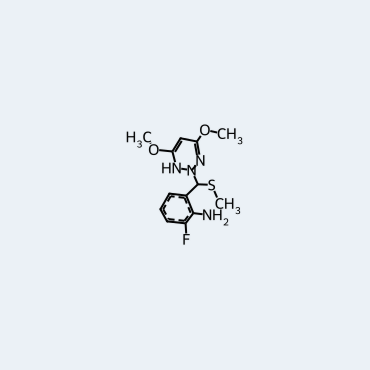 COC1=CC(OC)=NN(C(SC)c2cccc(F)c2N)N1